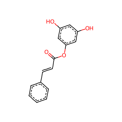 O=C(C=Cc1ccccc1)Oc1cc(O)cc(O)c1